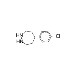 C1CCNNCC1.Clc1ccccc1